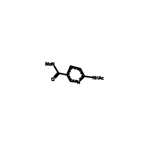 CNC(=O)c1ccc(NC(C)=O)nc1